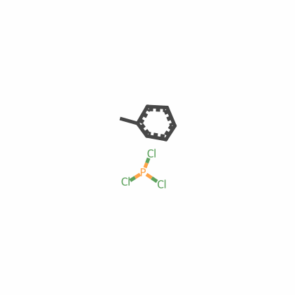 Cc1ccccc1.ClP(Cl)Cl